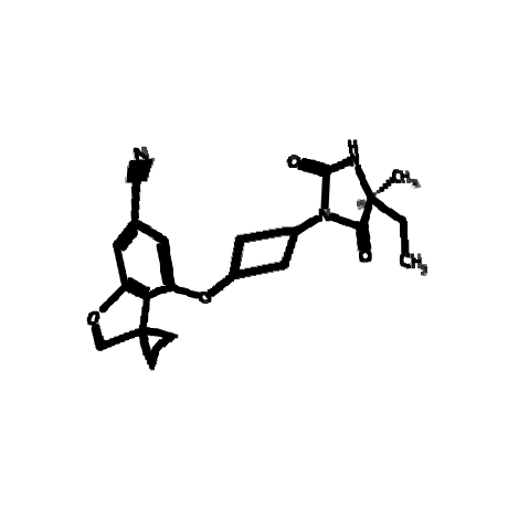 CC[C@]1(C)NC(=O)N(C2CC(Oc3cc(C#N)cc4c3C3(CC3)CO4)C2)C1=O